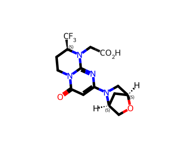 O=C(O)CN1c2nc(N3C[C@@H]4C[C@H]3CO4)cc(=O)n2CC[C@H]1C(F)(F)F